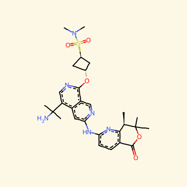 C[C@@H]1c2nc(Nc3cc4c(C(C)(C)N)cnc(O[C@H]5C[C@H](S(=O)(=O)N(C)C)C5)c4cn3)ccc2C(=O)OC1(C)C